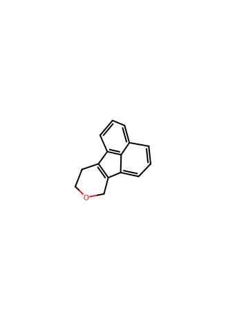 c1cc2c3c(cccc3c1)C1=C2CCOC1